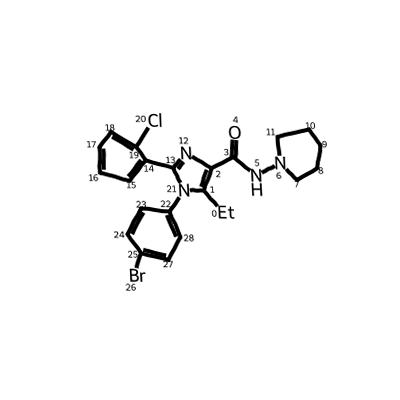 CCc1c(C(=O)NN2CCCCC2)nc(-c2ccccc2Cl)n1-c1ccc(Br)cc1